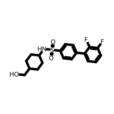 O=S(=O)(NC1CCC(CO)CC1)c1ccc(-c2cccc(F)c2F)cc1